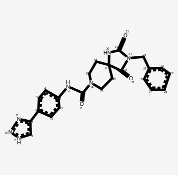 O=C(Nc1ccc(-c2c[nH]nn2)cc1)N1CCC2(CC1)NC(=O)N(Cc1ccccc1)C2=O